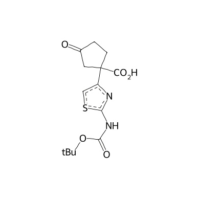 CC(C)(C)OC(=O)Nc1nc(C2(C(=O)O)CCC(=O)C2)cs1